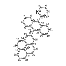 c1cnc(-c2c3ccccc3c(-c3cc4ccc5cccc6ccc(c3)c4c56)c3ccccc23)nc1